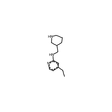 CCc1ccnc(NCC2CCCNC2)c1